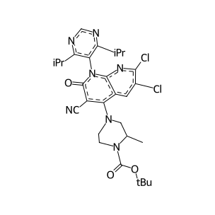 CC(C)c1ncnc(C(C)C)c1-n1c(=O)c(C#N)c(N2CCN(C(=O)OC(C)(C)C)C(C)C2)c2cc(Cl)c(Cl)nc21